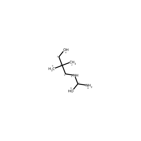 CC(C)(CO)CNC(N)O